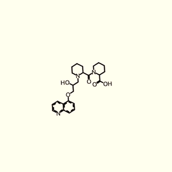 O=C(O)C1CCCCN1C(=O)C1CCCCN1CC(O)COc1cccc2ncccc12